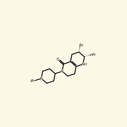 CCC[C@@H]1NC2=C(C[C@@H]1C(C)=O)C(=O)N(C1CCN(C(C)C)CC1)CC2